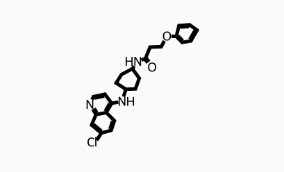 O=C(CCOc1ccccc1)NC1CCC(Nc2ccnc3cc(Cl)ccc23)CC1